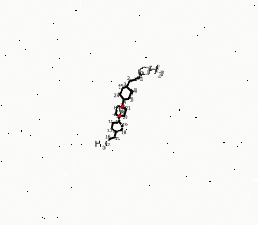 CCCC1CCC(C23CCC(C4CCC(CCC)CC4)(CC2)CC3)CC1